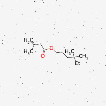 C=C(C)CC(=O)OCCCC(C)(C)CC